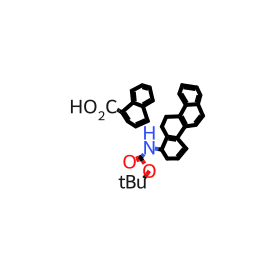 CC(C)(C)OC(=O)NC1CC=CC2=C1CCc1c2ccc2ccccc12.O=C(O)c1cccc2ccccc12